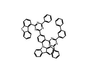 c1ccc(-c2cccc(-c3nc(-c4ccccc4)nc(-c4cc(-c5nc(-c6ccccc6)nc(-c6cccc7sc8ccccc8c67)n5)ccc4-n4c5ccccc5c5ccccc54)n3)c2)cc1